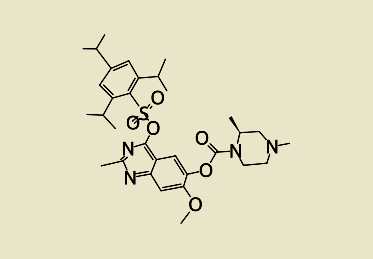 COc1cc2nc(C)nc(OS(=O)(=O)c3c(C(C)C)cc(C(C)C)cc3C(C)C)c2cc1OC(=O)N1CCN(C)C[C@@H]1C